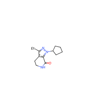 CCc1nn(C2CCCC2)c2c1CCNC2=O